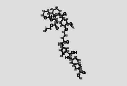 C=CCOC(=O)N1c2cc(OCCCC(=O)Nc3cc(C(O)Nc4ccc5sc(C(=O)OC)cc5c4)n(C)c3)c(OC)cc2C(=O)N2CCCC[C@H]2C1OC1CCCCO1